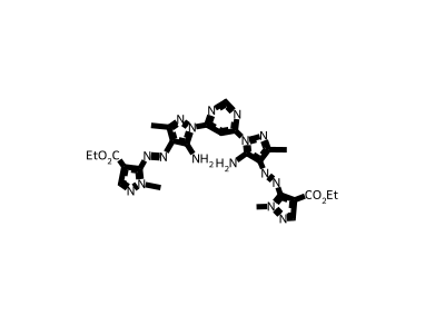 CCOC(=O)c1cnn(C)c1/N=N/c1c(C)nn(-c2cc(-n3nc(C)c(/N=N/c4c(C(=O)OCC)cnn4C)c3N)ncn2)c1N